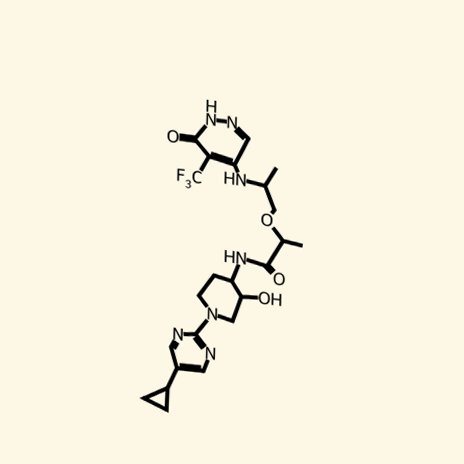 CC(COC(C)C(=O)NC1CCN(c2ncc(C3CC3)cn2)CC1O)Nc1cn[nH]c(=O)c1C(F)(F)F